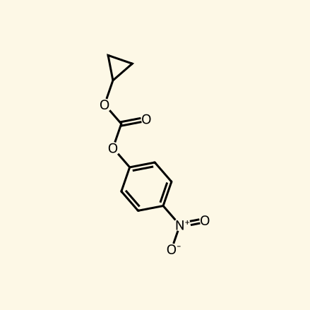 O=C(Oc1ccc([N+](=O)[O-])cc1)OC1CC1